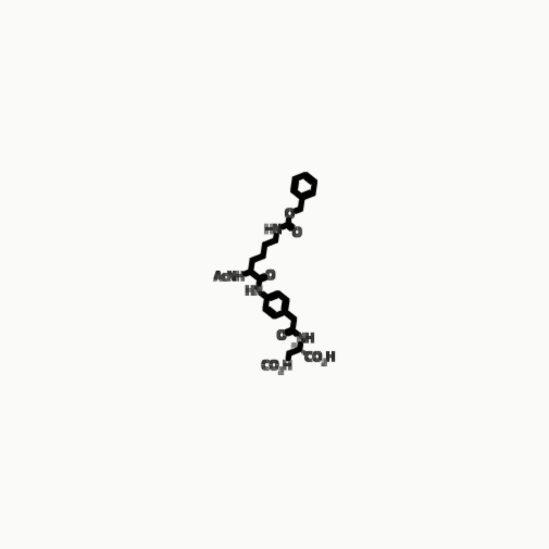 CC(=O)NC(CCCCNC(=O)OCc1ccccc1)C(=O)Nc1ccc(CC(=O)N[C@@H](CC(=O)O)C(=O)O)cc1